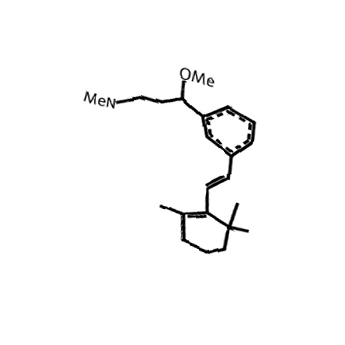 CNCCC(OC)c1cccc(C=CC2=C(C)CCCC2(C)C)c1